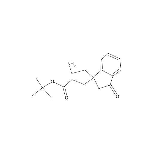 CC(C)(C)OC(=O)CCC1(CCN)CC(=O)c2ccccc21